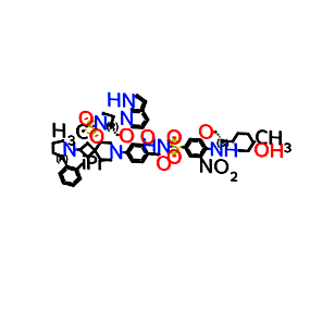 CC(C)c1ccccc1[C@H]1CCCN1C1CC2(CCN(c3ccc(C(=O)NS(=O)(=O)c4cc5c(c([N+](=O)[O-])c4)N[C@@H]([C@H]4CC[C@](C)(O)CC4)CO5)c(Oc4cc5cc[nH]c5nc4OC[C@H]4CCN4S(C)(=O)=O)c3)CC2)C1